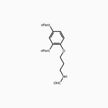 CCCCCc1ccc(OCCCN[C]=O)c(CCCCC)c1